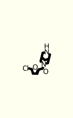 O=C(C1=CCC(Cl)O1)N1CC2CNCC(C2)C1